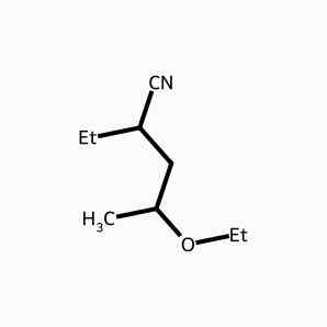 CCOC(C)CC(C#N)CC